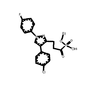 CCOP(=O)(O)C(=O)CCc1nn(-c2ccc(F)cc2)cc1-c1ccc(Cl)cc1